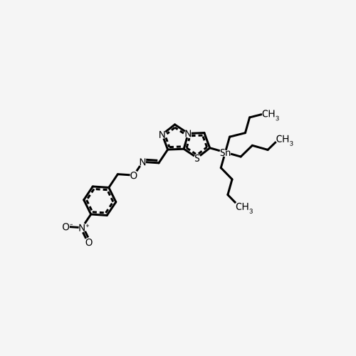 CCC[CH2][Sn]([CH2]CCC)([CH2]CCC)[c]1cn2cnc(/C=N/OCc3ccc([N+](=O)[O-])cc3)c2s1